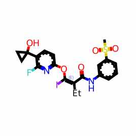 CC/C(C(=O)Nc1cccc(S(C)(=O)=O)c1)=C(\I)Oc1ccc(C2(O)CC2)c(F)n1